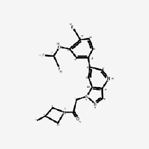 CC1CN(C(=O)Cn2ncc3ncc(-c4ccc(F)c(OC(F)F)c4)cc32)C1